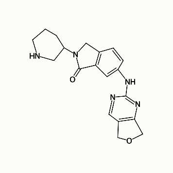 O=C1c2cc(Nc3ncc4c(n3)COC4)ccc2CN1C1CCCNC1